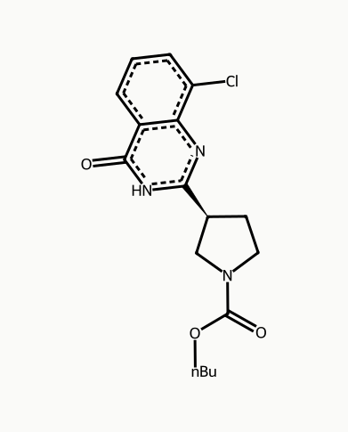 CCCCOC(=O)N1CC[C@H](c2nc3c(Cl)cccc3c(=O)[nH]2)C1